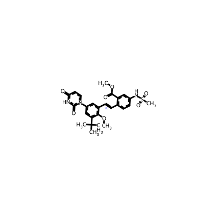 COC(=O)c1cc(NS(C)(=O)=O)ccc1/C=C/c1cc(-n2ccc(=O)[nH]c2=O)cc(C(C)(C)C)c1OC